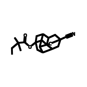 CCC(C)(C)C(=O)OC12CC3C4CC5(C#N)CC3C(C1)C(C5)C4C2